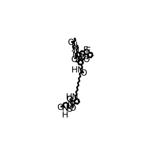 C=CC(=O)N1CCN(c2nc(=O)n(-c3c(C)cc(CNC(=O)CCCCCCCCCCNc4cccc5c4C(=O)N(C4CCC(=O)NC4=O)C5=O)cc3C)c3nc(-c4c(O)cccc4F)c(F)cc23)[C@@H](C)C1